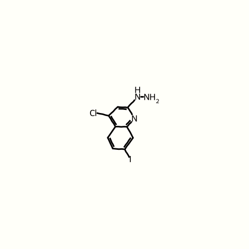 NNc1cc(Cl)c2ccc(I)cc2n1